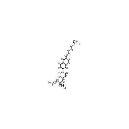 CCCCCCOc1ccc2cc([C@H]3CC[C@H](CC(C)CC)CC3)ccc2c1